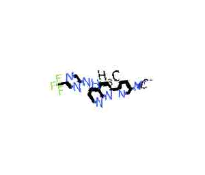 [C-]#[N+]c1cnc(-c2ccc3c(Nc4cnc(C(F)(F)F)cn4)ccnc3n2)c(C)c1